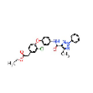 CCOC(=O)Cc1ccc(Oc2ccc(NC(=O)c3nn(-c4ccccc4)nc3C)cc2)c(Cl)c1